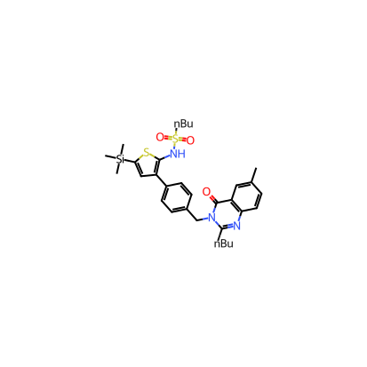 CCCCc1nc2ccc(C)cc2c(=O)n1Cc1ccc(-c2cc([Si](C)(C)C)sc2NS(=O)(=O)CCCC)cc1